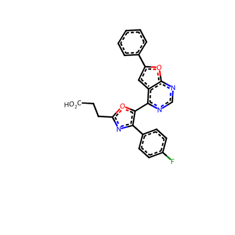 O=C(O)CCc1nc(-c2ccc(F)cc2)c(-c2ncnc3oc(-c4ccccc4)cc23)o1